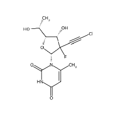 Cc1cc(=O)[nH]c(=O)n1[C@@H]1O[C@H]([C@@H](C)O)[C@H](O)C1(F)C#CCl